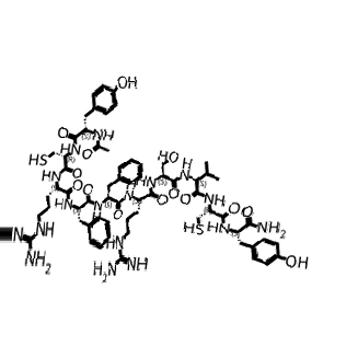 CC(=O)N[C@@H](Cc1ccc(O)cc1)C(=O)N[C@@H](CS)C(=O)N[C@@H](CCCNC(=N)N)C(=O)N[C@@H](Cc1ccccc1)C(=O)N[C@@H](Cc1ccccc1)C(=O)N[C@@H](CCCNC(=N)N)C(=O)N[C@@H](CO)C(=O)N[C@H](C(=O)N[C@@H](CS)C(=O)N[C@@H](Cc1ccc(O)cc1)C(N)=O)C(C)C